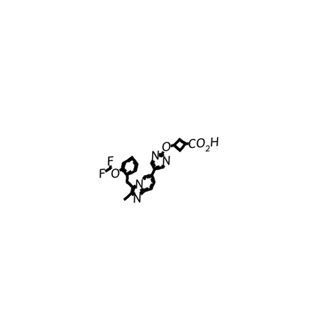 Cc1nc2ccc(-c3cnc(OC4CC(C(=O)O)C4)nc3)cn2c1Cc1ccccc1OC(F)F